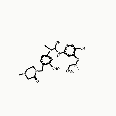 COC[C@@H](C)Oc1cc(NC(O)N(C)c2ccc(CN3CCN(C)CC3=O)c(C=O)n2)ncc1C#N